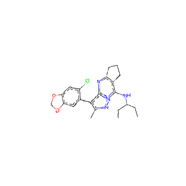 CCC(CC)Nc1c2c(nc3c(-c4cc5c(cc4Cl)OCO5)c(C)nn13)CCC2